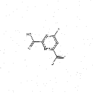 O=C(O)c1cc(Br)cc(C(=O)O)n1